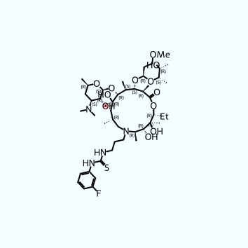 CC[C@H]1OC(=O)[C@H](C)[C@@H](O[C@@H](CCOC)O[C@@H](C)[C@@H](C)O)[C@H](C)[C@@H](O[C@@H]2O[C@H](C)C[C@H](N(C)C)[C@H]2O)[C@](C)(O)C[C@@H](C)CN(CCCNC(=S)Nc2cccc(F)c2)[C@H](C)[C@@H](O)[C@]1(C)O